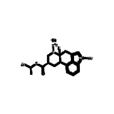 Br.CCCN1C[C@H](C(=O)OC(C)C(C)=O)CC2c3cccc4c3c(cn4C(C)C)C[C@H]21